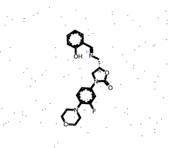 O=C1O[C@@H](C/N=C/c2ccccc2O)CN1c1ccc(N2CCOCC2)c(F)c1